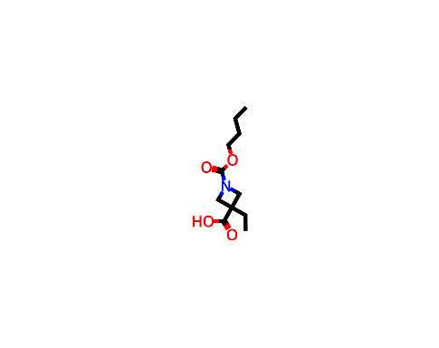 CCCCOC(=O)N1CC(CC)(C(=O)O)C1